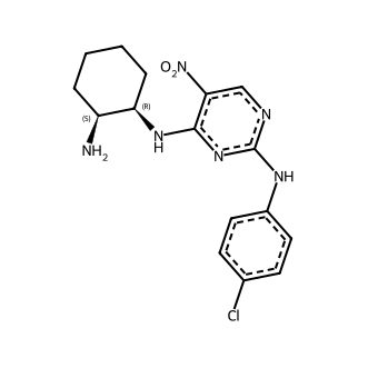 N[C@H]1CCCC[C@H]1Nc1nc(Nc2ccc(Cl)cc2)ncc1[N+](=O)[O-]